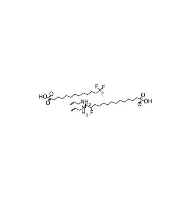 C=CCN.C=CCN.O=S(=O)(O)CCCCCCCCCCCC(F)(F)F.O=S(=O)(O)CCCCCCCCCCCC(F)F